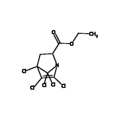 CCOC(=O)C1CC2(Cl)C(Cl)=C(Cl)N1C2(Cl)Cl